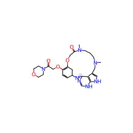 CN1CCCN(C)C(=O)COC2=C(OCC(=O)N3CCOCC3)C=CC(C2)/N=C2\N=CNc3[nH]cc(c32)C1